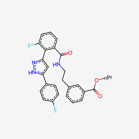 CCCOC(=O)c1cccc(CCNC(=O)c2cccc(F)c2-c2cc(-c3ccc(F)cc3)[nH]n2)c1